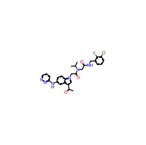 CC(=O)c1cn(CC(=O)N(CC(=O)NCc2cccc(Cl)c2F)C(C)C)c2ccc(Nc3cccnn3)cc12